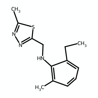 CCc1cccc(C)c1NCc1nnc(C)s1